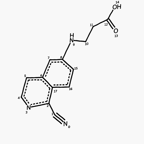 N#Cc1nccc2cc(NCCC(=O)O)ccc12